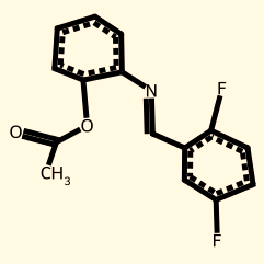 CC(=O)Oc1ccccc1N=Cc1cc(F)ccc1F